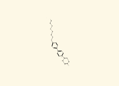 CCCCCCCCCc1ccc(-c2ccc(C3CCC(C)CC3)cc2)cc1